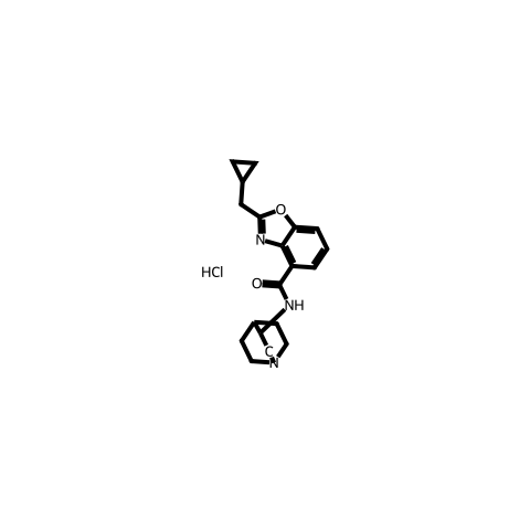 Cl.O=C(NC1CN2CCC1CC2)c1cccc2oc(CC3CC3)nc12